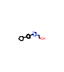 OCCn1cnc(-c2ccc(C3=CCCCC3)cc2)n1